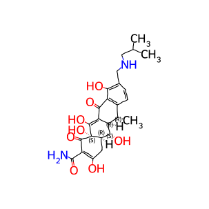 CC(C)CNCc1ccc2c(c1O)C(=O)C1=C(O)[C@]3(O)C(=O)C(C(N)=O)=C(O)C[C@@H]3[C@@H](O)[C@@H]1[C@H]2C